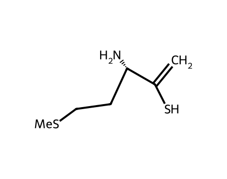 C=C(S)[C@@H](N)CCSC